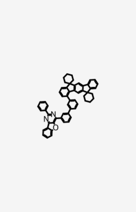 c1ccc(-c2nc(-c3cccc(-c4cccc(-c5cccc6c5-c5cc7c(cc5C65CCCCC5)-c5ccccc5C75CCCCC5)c4)c3)c3oc4ccccc4c3n2)cc1